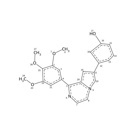 COc1cc(-c2nccn3cc(-c4cccc(O)c4)cc23)cc(OC)c1OC